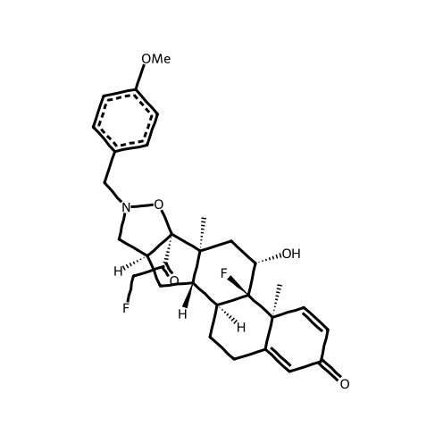 COc1ccc(CN2C[C@@H]3C[C@H]4[C@@H]5CCC6=CC(=O)C=C[C@]6(C)[C@@]5(F)[C@@H](O)C[C@]4(C)[C@]3(C(=O)CF)O2)cc1